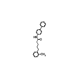 Cc1ccccc1CCCCC(=O)Nc1ccc(-c2ccccc2)cc1